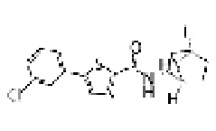 O=C(N[C@@H]1C[C@H]2CC[C@@H]1N2)c1ncc(-c2cccc(Cl)c2)s1